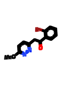 COc1ccc(CC(=O)c2ccccc2Br)nn1